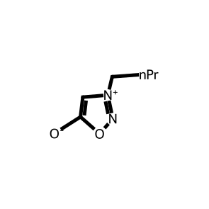 CCCC[n+]1cc([O-])on1